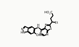 CCC(CCC(=O)O)c1nc2c(Nc3cc4cn[nH]c4cc3OC)ncnc2s1